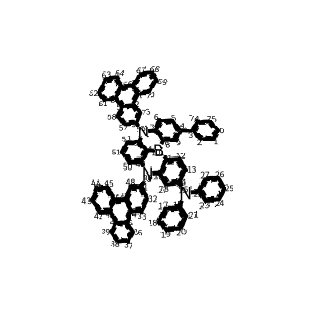 c1ccc(-c2ccc3c(c2)B2c4ccc(N(c5ccccc5)c5ccccc5)cc4N(c4ccc5c6ccccc6c6ccccc6c5c4)c4cccc(c42)N3c2ccc3c4ccccc4c4ccccc4c3c2)cc1